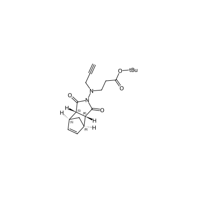 C#CCN(CCC(=O)OC(C)(C)C)N1C(=O)[C@@H]2[C@H](C1=O)[C@H]1C=C[C@@H]2C1